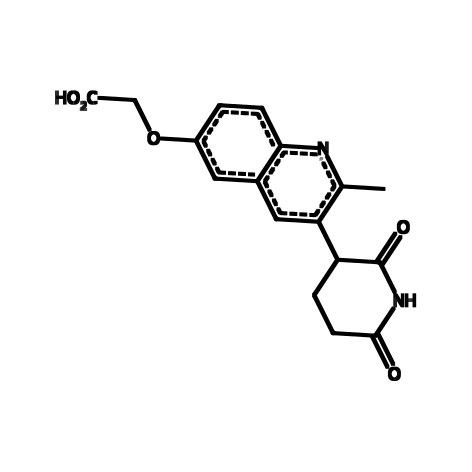 Cc1nc2ccc(OCC(=O)O)cc2cc1C1CCC(=O)NC1=O